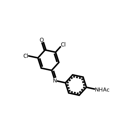 CC(=O)Nc1ccc(N=C2C=C(Cl)C(=O)C(Cl)=C2)cc1